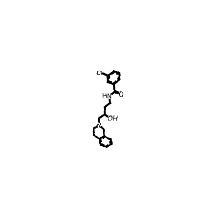 O=C(NCCC(O)CN1CCc2ccccc2C1)c1cccc(Cl)c1